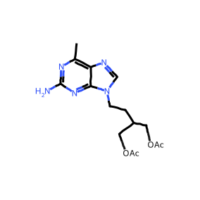 CC(=O)OCC(CCn1cnc2c(C)nc(N)nc21)COC(C)=O